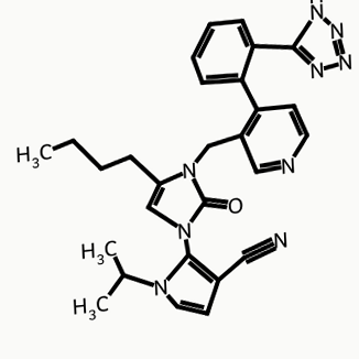 CCCCc1cn(-c2c(C#N)ccn2C(C)C)c(=O)n1Cc1cnccc1-c1ccccc1-c1nnn[nH]1